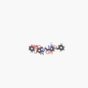 O[C@@H](CN1C[C@H]2C[C@H](Oc3ccccc3)[C@H](O)[C@@]2(O)C1)c1ccc(OCc2ccccc2)c(F)n1